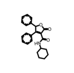 O=C(NC1CCCCC1)C1=C(c2ccccc2)C(c2ccccc2)OC1=O